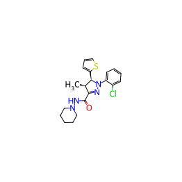 C[C@@H]1C(C(=O)NN2CCCCC2)=NN(c2ccccc2Cl)[C@@H]1c1cccs1